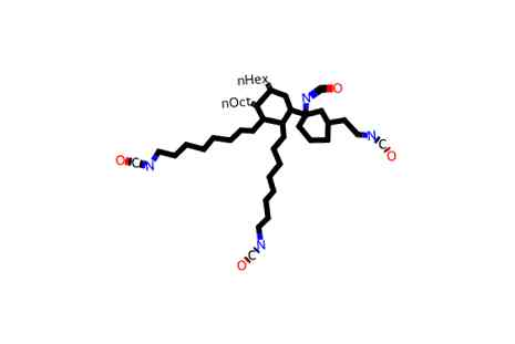 CCCCCCCCC1C(CCCCCC)CC(C2(N=C=O)CCCC(CCN=C=O)C2)C(CCCCCCCCN=C=O)C1CCCCCCCCN=C=O